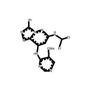 CCC(CC)Nc1cc(Nc2ncncc2OC)c2nnc(C(C)C)n2n1